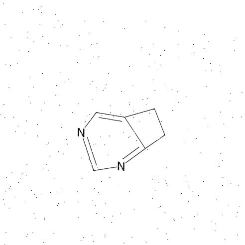 c1ncc2c(n1)CC2